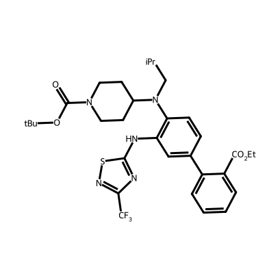 CCOC(=O)c1ccccc1-c1ccc(N(CC(C)C)C2CCN(C(=O)OC(C)(C)C)CC2)c(Nc2nc(C(F)(F)F)ns2)c1